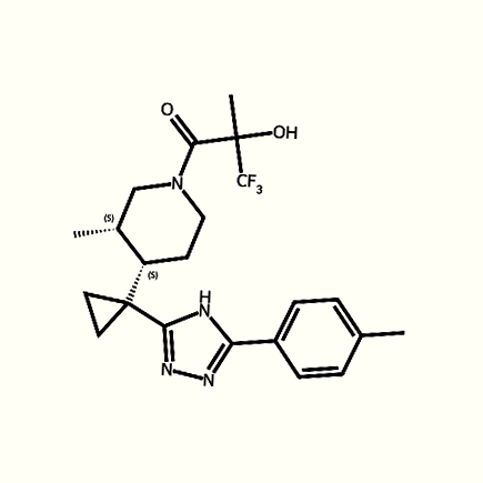 Cc1ccc(-c2nnc(C3([C@H]4CCN(C(=O)C(C)(O)C(F)(F)F)C[C@H]4C)CC3)[nH]2)cc1